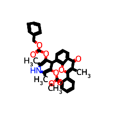 COC(=O)OC1=C(C)NC(C)=C(OC(=O)OCc2ccccc2)C1c1cccc2c(=O)c(C)c(-c3ccccc3)oc12